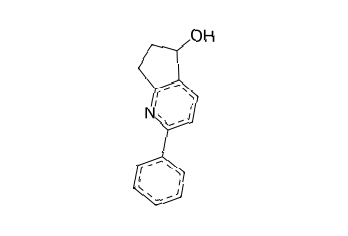 OC1CCc2nc(-c3ccccc3)ccc21